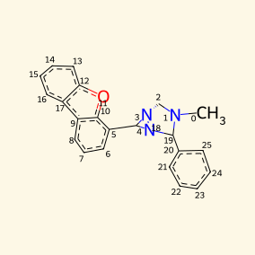 CN1C[N@@]2C(c3cccc4c3oc3ccccc34)N2C1c1ccccc1